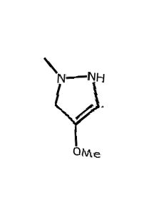 COC1=[C]NN(C)C1